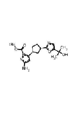 CC(C)(C)OC(=O)n1nc(N)cc1[C@H]1CC[C@@H](c2ncc(C(C)(C)O)o2)C1